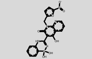 O=c1c(C2=NS(O)(O)c3ccccc3N2)c(O)c2cccnc2n1Cc1ccc([N+](=O)[O-])o1